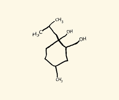 CC1CCC(O)(C(C)C)C(O)C1